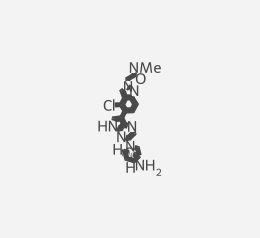 CNC(=O)Cn1cc2c(Cl)c(-c3c[nH]c4nc(N5CC6CC[C@H]5C[C@@H]6N)cnc34)ccc2n1